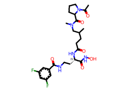 CC(=O)N1CCCC1C(=O)N(C)CC(C)CCC(=O)N[C@@H](CCNC(=O)c1cc(F)cc(F)c1)C(=O)NO